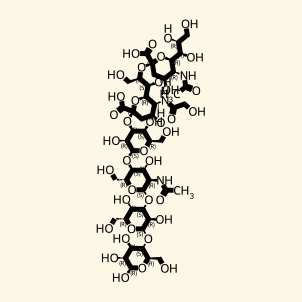 CC(=O)N[C@H]1[C@H](O[C@H]2[C@@H](O)[C@@H](CO)O[C@@H](O[C@H]3[C@H](O)[C@@H](O)[C@H](O)O[C@@H]3CO)[C@@H]2O)O[C@H](CO)[C@@H](O[C@@H]2O[C@H](CO)[C@H](O)[C@H](O[C@]3(C(=O)O)C[C@H](O)[C@@H](NC(=O)CO)[C@H]([C@H](O)[C@@H](CO)O[C@]4(C(=O)O)C[C@H](O)[C@@H](NC(C)=O)[C@H]([C@H](O)[C@H](O)CO)O4)O3)[C@H]2O)[C@@H]1O